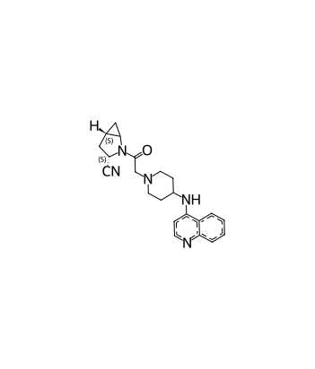 N#C[C@@H]1C[C@@H]2CC2N1C(=O)CN1CCC(Nc2ccnc3ccccc23)CC1